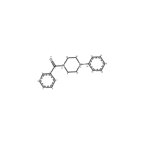 O=C(c1cc[c]cc1)N1CCN(c2ccccc2)CC1